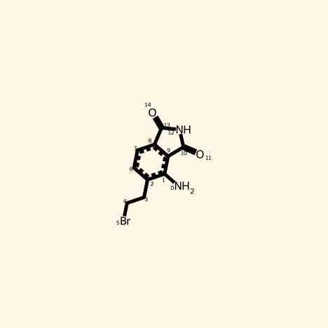 Nc1c(CCBr)ccc2c1C(=O)NC2=O